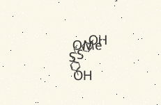 COCC(Sc1ccc(O)cc1)Sc1ccc(O)cc1